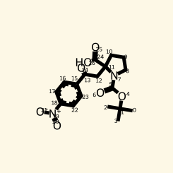 CC(C)(C)OC(=O)N1CCCC1(CC(=O)c1ccc([N+](=O)[O-])cc1)C(=O)O